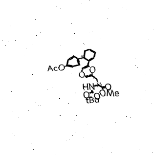 COC(=O)[C@H](CC1=COC=C(C2=CC=CC[C@@H]2c2ccc(OC(C)=O)cc2)O1)NC(=O)OC(C)(C)C